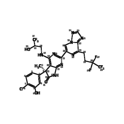 C[C@@]1(c2ccc(Cl)c(O)c2)C(=O)Nc2nc(-c3cn4ncnc4c(CCC(F)(F)C(F)(F)F)n3)nc(NCC(O)C(F)(F)F)c21